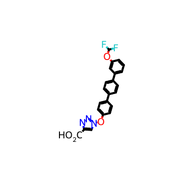 O=C(O)c1cn(Oc2ccc(-c3ccc(-c4cccc(OC(F)F)c4)cc3)cc2)nn1